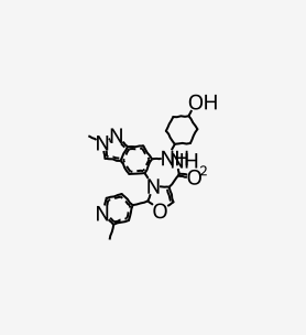 Cc1cc(C2OC=C(C(N)=O)N2c2cc3cn(C)nc3cc2NC2CCC(O)CC2)ccn1